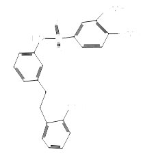 COc1ccc(S(=O)(=O)Nc2cccc(CCc3ccccc3C(=O)O)c2)cc1OC